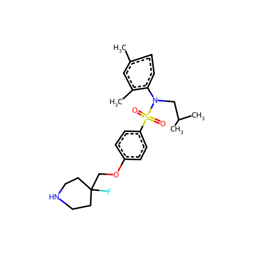 Cc1ccc(N(CC(C)C)S(=O)(=O)c2ccc(OCC3(F)CCNCC3)cc2)c(C)c1